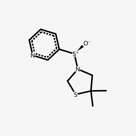 CC1(C)CN([S@+]([O-])c2cccnc2)CS1